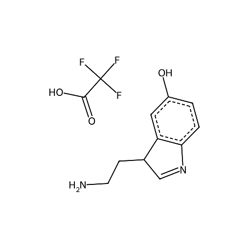 NCCC1C=Nc2ccc(O)cc21.O=C(O)C(F)(F)F